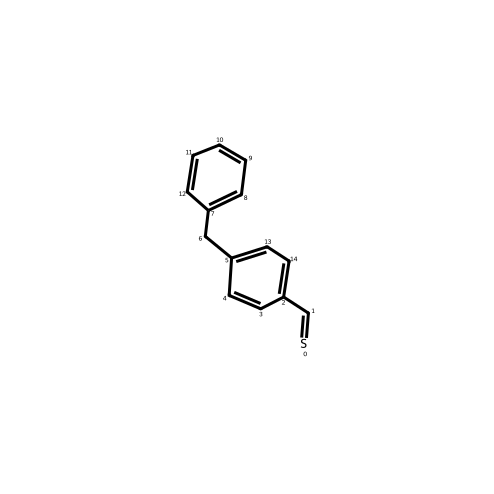 S=Cc1ccc(Cc2ccccc2)cc1